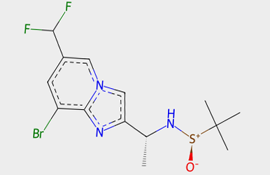 C[C@@H](N[S@+]([O-])C(C)(C)C)c1cn2cc(C(F)F)cc(Br)c2n1